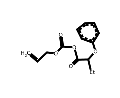 C=CCOC(=O)OC(=O)C(CC)Oc1ccccc1